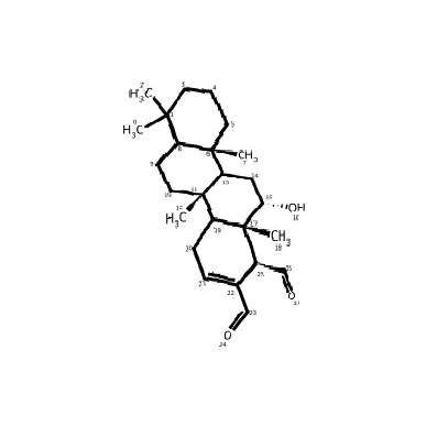 CC1(C)CCC[C@@]2(C)C1CC[C@]1(C)C2C[C@H](O)[C@@]2(C)C1CC=C(C=O)[C@@H]2C=O